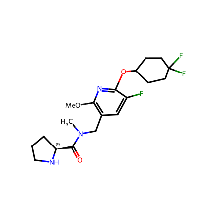 COc1nc(OC2CCC(F)(F)CC2)c(F)cc1CN(C)C(=O)[C@@H]1CCCN1